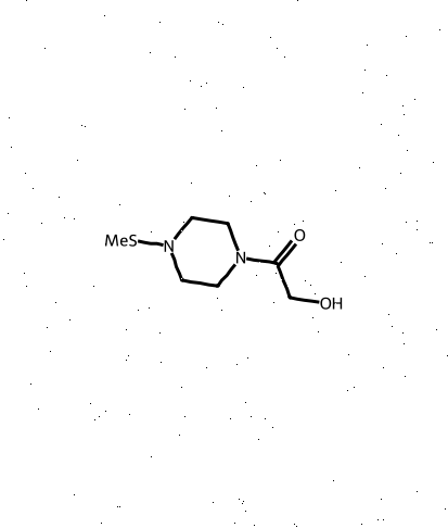 CSN1CCN(C(=O)CO)CC1